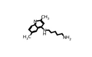 Cc1ccc2nc(C)cc(NCCCCCN)c2c1